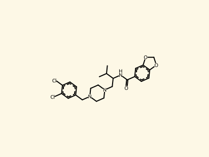 CC(C)C(CN1CCN(Cc2ccc(Cl)c(Cl)c2)CC1)NC(=O)c1ccc2c(c1)OCO2